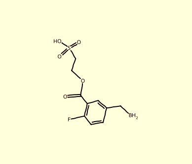 BCc1ccc(F)c(C(=O)OCCS(=O)(=O)O)c1